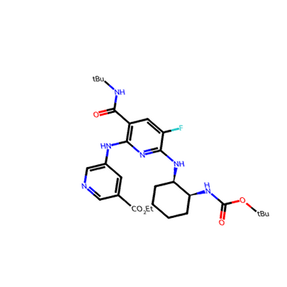 CCOC(=O)c1cncc(Nc2nc(N[C@@H]3CCCC[C@@H]3NC(=O)OC(C)(C)C)c(F)cc2C(=O)NC(C)(C)C)c1